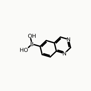 OB(O)c1ccc2ncncc2c1